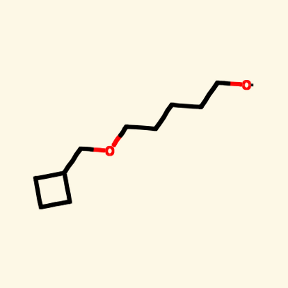 [O]CCCCCOCC1CCC1